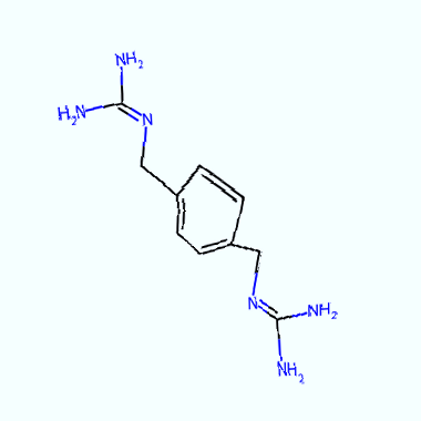 NC(N)=NCc1ccc(CN=C(N)N)cc1